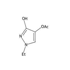 CCn1cc(OC(C)=O)c(O)n1